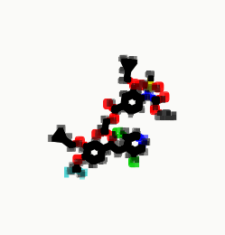 CC(C)(C)OC(=O)N(c1ccc(C(=O)OCC(=O)OC(Cc2c(Cl)cncc2Cl)c2ccc(OC(F)F)c(OCC3CC3)c2)cc1OCC1CC1)S(C)(=O)=O